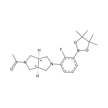 CC(=O)N1C[C@@H]2CN(c3cccc(B4OC(C)(C)C(C)(C)O4)c3F)C[C@@H]2C1